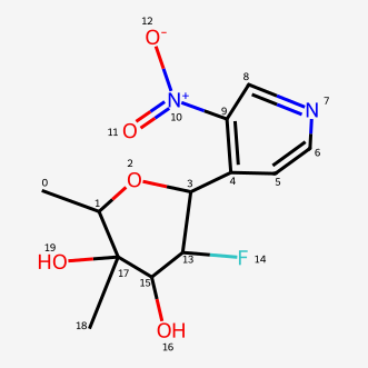 CC1OC(c2ccncc2[N+](=O)[O-])C(F)C(O)C1(C)O